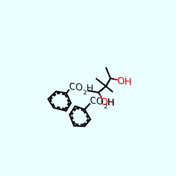 CC(O)C(C)(C)C(C)O.O=C(O)c1ccccc1.O=C(O)c1ccccc1